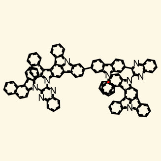 c1ccc(-n2c3cc(-c4ccc5c6cc7c(c8c9ccccc9ccc8n7-c7nc8ccccc8nc7-n7c8ccccc8c8c9ccccc9ccc87)c7c8ccccc8n(c5c4)c67)ccc3c3ccc(-c4nc5ccccc5nc4-n4c5ccc6ccccc6c5c5c6c7ccccc7n7c8ccccc8c(cc54)c67)cc32)cc1